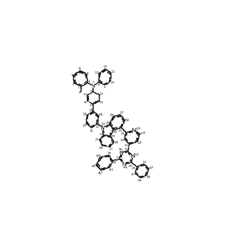 Cc1ccccc1N(c1ccccc1)C1C=CC(c2cccc(-n3c4ccccc4c4c(-c5cc(-c6nc(-c7ccccc7)nc(-c7ccccc7)n6)ccn5)cccc43)c2)=CC1